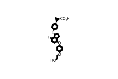 O=C(O)[C@H]1C[C@@H]1c1ccc(O[C@@H]2CCc3c(Oc4ccc(OCCO)cc4)ccc(F)c32)cc1